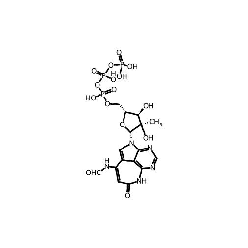 C[C@@]1(O)[C@H](O)[C@@H](COP(=O)(O)OP(=O)(O)OP(=O)(O)O)O[C@H]1n1cc2c3c(ncnc31)NC(=O)C=C2NC=O